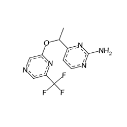 CC(Oc1cncc(C(F)(F)F)n1)c1ccnc(N)n1